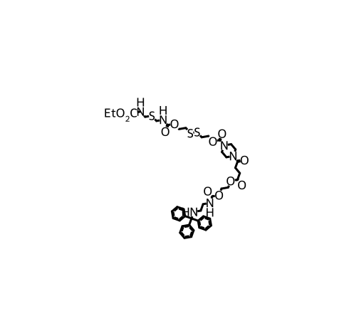 CCOC(=O)NCSCNC(=O)OCCSSCCOC(=O)N1CCN(C(=O)CCC(=O)OCCOC(=O)NCCNC(c2ccccc2)(c2ccccc2)c2ccccc2)CC1